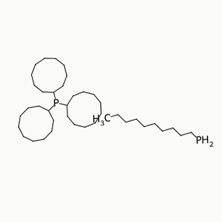 C1CCCCC(P(C2CCCCCCCCC2)C2CCCCCCCCC2)CCCC1.CCCCCCCCCCP